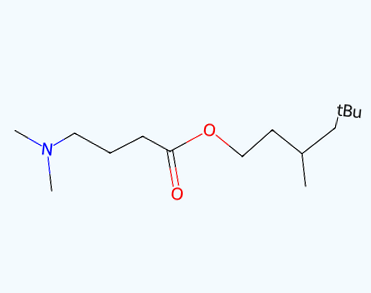 CC(CCOC(=O)CCCN(C)C)CC(C)(C)C